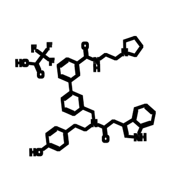 O=C(NCCN1CCCC1)c1cccc(-c2cccc(CN(CCc3ccc(O)cc3)C(=O)Cc3c[nH]c4ccccc34)c2)c1.O=C(O)C(F)(F)F